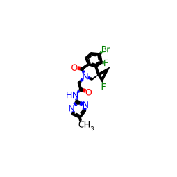 Cc1cnc(NC(=O)CN2C[C@]3(C[C@@H]3F)c3c(ccc(Br)c3F)C2=O)nc1